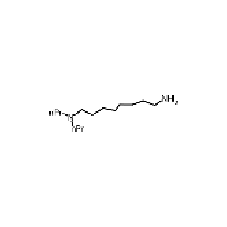 CCCN(CCC)CCCCCCCCN